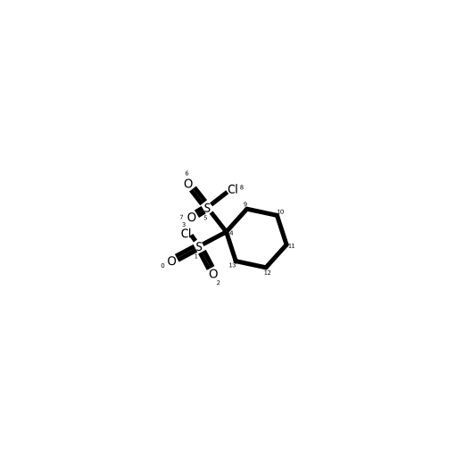 O=S(=O)(Cl)C1(S(=O)(=O)Cl)CCCCC1